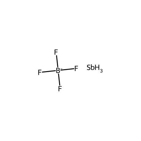 F[B-](F)(F)F.[SbH3]